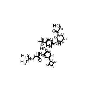 CN(C)CCC(=O)Nc1cc(C2CCC2)ccc1Nc1nc(N[C@H]2CCCN(C(=O)CO)C2)ncc1C(F)(F)F